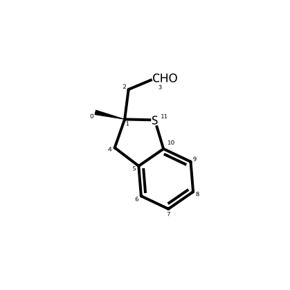 C[C@]1(CC=O)Cc2ccccc2S1